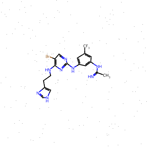 CC(=N)Nc1cc(Nc2ncc(Br)c(NCCc3c[nH]cn3)n2)cc(C(F)(F)F)c1